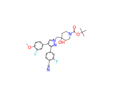 COc1ccc(-c2cn(CC3(O)CCN(C(=O)OC(C)(C)C)CC3)nc2-c2ccc(C#N)c(F)c2)cc1F